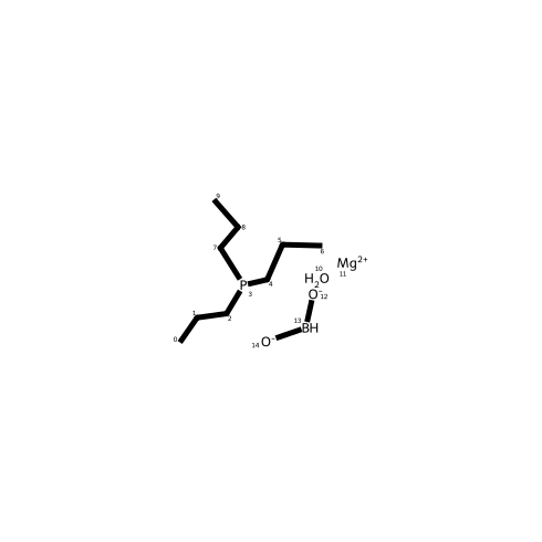 CCCP(CCC)CCC.O.[Mg+2].[O-]B[O-]